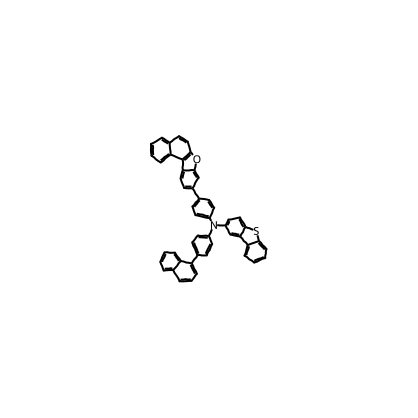 c1ccc2c(-c3ccc(N(c4ccc(-c5ccc6c(c5)oc5ccc7ccccc7c56)cc4)c4ccc5sc6ccccc6c5c4)cc3)cccc2c1